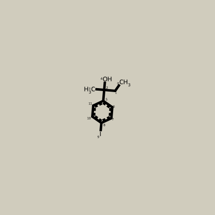 CCC(C)(O)c1ccc(I)cc1